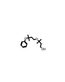 CC(C)(CCO)OCCC(C)(C)Oc1ccccc1